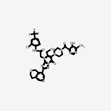 CCc1c(N2CCN(C(=O)c3ncnc(C)c3O)CC2)c(=O)n2nc(-c3cncc4c3COCC4)nc2n1CC(=O)Nc1ccc(C(F)(F)F)cc1Cl